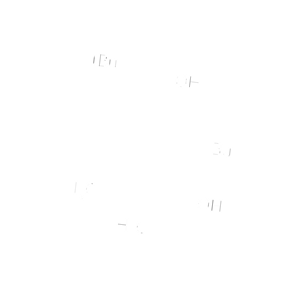 Cc1cc(C(C)(C)C)c(O)c(C(C)(C)C)c1C(C)O